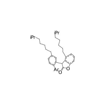 CC(=O)c1ccc(CCCCCC(C)C)cc1C1C(=O)Oc2cccc(CCCCCC(C)C)c21